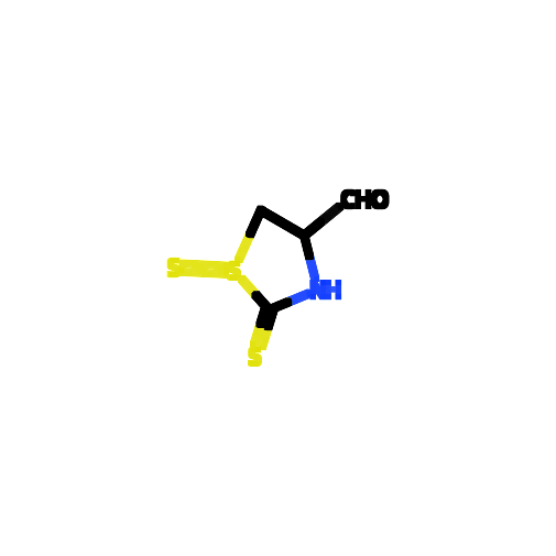 O=CC1CS(=S)C(=S)N1